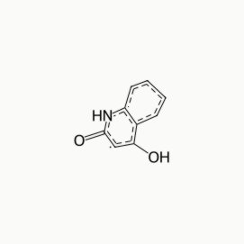 O=c1[c]c(O)c2ccccc2[nH]1